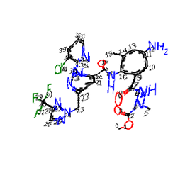 COC(=O)N(C)NC(=O)c1cc(N)cc(C)c1NC(=O)c1cc(Cn2ncc(C(F)(F)F)n2)nn1-c1ncccc1Cl